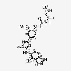 CCNCC(C)NC(=O)COc1ccc(-c2nc(Nc3ccc4[nH]ncc4c3Cl)n(C)n2)cc1OC